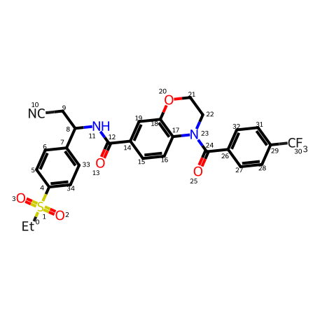 CCS(=O)(=O)c1ccc(C(CC#N)NC(=O)c2ccc3c(c2)OCCN3C(=O)c2ccc(C(F)(F)F)cc2)cc1